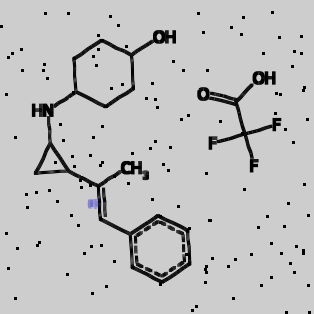 C/C(=C\c1ccccc1)C1CC1NC1CCC(O)CC1.O=C(O)C(F)(F)F